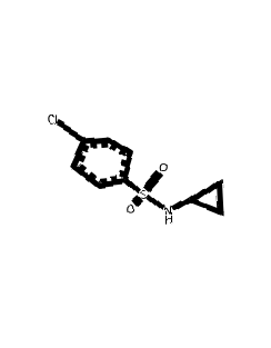 O=S(=O)(NC1CC1)c1ccc(Cl)cc1